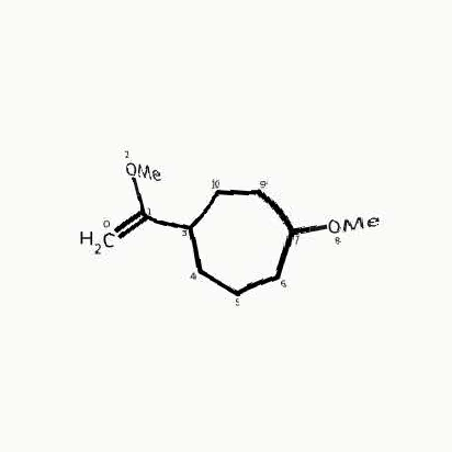 C=C(OC)C1CCCC(OC)CC1